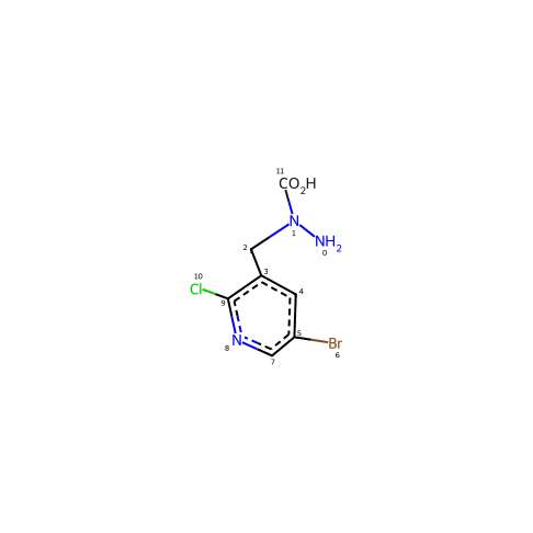 NN([CH]c1cc(Br)cnc1Cl)C(=O)O